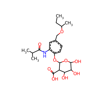 CCC(C)OCc1ccc(OC2OC(O)C(O)C(O)C2C(=O)O)c(NC(=O)C(C)C)c1